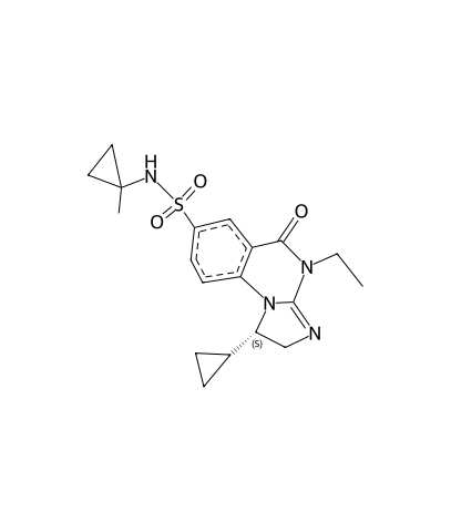 CCN1C(=O)c2cc(S(=O)(=O)NC3(C)CC3)ccc2N2C1=NC[C@@H]2C1CC1